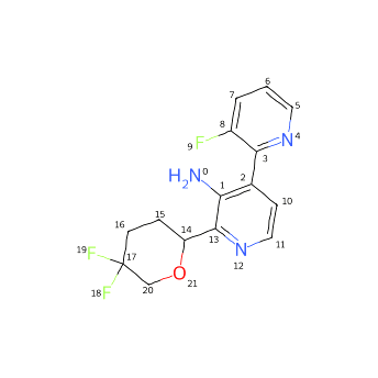 Nc1c(-c2ncccc2F)ccnc1C1CCC(F)(F)CO1